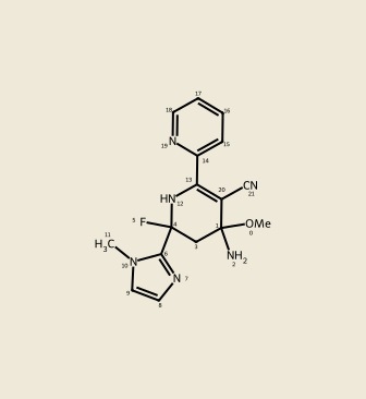 COC1(N)CC(F)(c2nccn2C)NC(c2ccccn2)=C1C#N